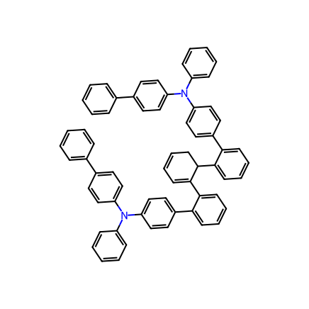 C1=CCC(c2ccccc2-c2ccc(N(c3ccccc3)c3ccc(-c4ccccc4)cc3)cc2)C(c2ccccc2-c2ccc(N(c3ccccc3)c3ccc(-c4ccccc4)cc3)cc2)=C1